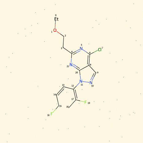 CCOCCc1nc(Cl)c2cnn(C(/C=C\CF)=C(/C)F)c2n1